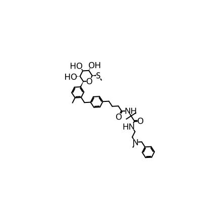 CS[C@H]1O[C@@H](c2ccc(C)c(Cc3ccc(CCCC(=O)NC(C)(C)C(=O)NCCN(C)Cc4ccccc4)cc3)c2)[C@H](O)[C@@H](O)[C@@H]1O